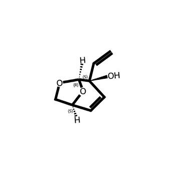 C=C[C@]1(O)C=C[C@H]2CO[C@@H]1O2